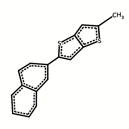 Cc1cc2sc(-c3ccc4ccccc4c3)cc2s1